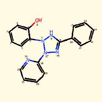 Oc1ccccc1N1NC(c2ccccc2)=NN1c1ccccn1